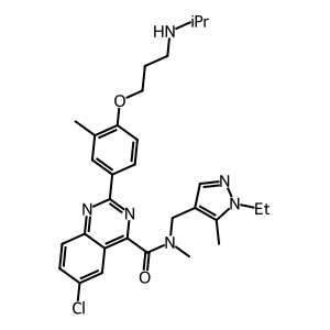 CCn1ncc(CN(C)C(=O)c2nc(-c3ccc(OCCCNC(C)C)c(C)c3)nc3ccc(Cl)cc23)c1C